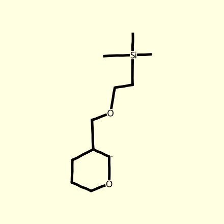 C[Si](C)(C)CCOCC1[CH]OCCC1